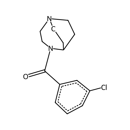 O=C(c1cccc(Cl)c1)N1CCN2CCC1CC2